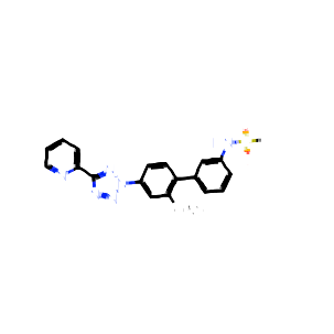 COc1cc(-n2nnc(-c3ccccn3)n2)ccc1-c1cccc(NS(C)(=O)=O)c1